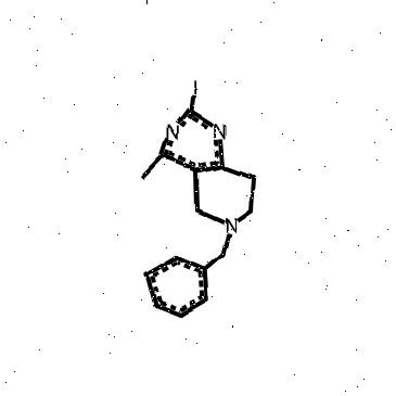 Cc1nc(I)nc2c1CN(Cc1ccccc1)CC2